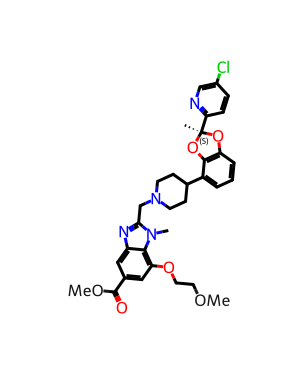 COCCOc1cc(C(=O)OC)cc2nc(CN3CCC(c4cccc5c4O[C@@](C)(c4ccc(Cl)cn4)O5)CC3)n(C)c12